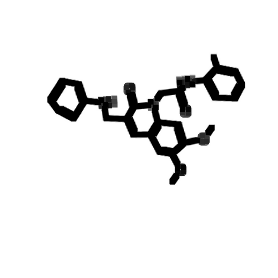 COc1cc2cc(CNc3ccccc3)c(=O)n(CC(=O)Nc3ccccc3C)c2cc1OC